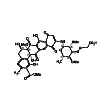 COC(=O)c1c(C)cc2c(c1O)[C@]1(O)C(=O)c3cc4c(c(O)c3C(=O)[C@]1(OC)[C@H](O)C2)C(=O)C=C(N[C@H]1O[C@@H](C)[C@H](OC)/C(=N/OCC(=O)O)[C@H]1OC)C4=O